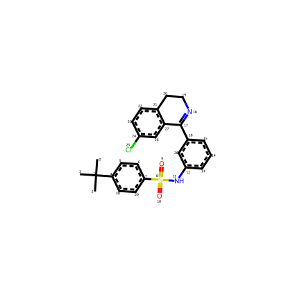 CC(C)(C)c1ccc(S(=O)(=O)Nc2cccc(C3=NCCc4ccc(Cl)cc43)c2)cc1